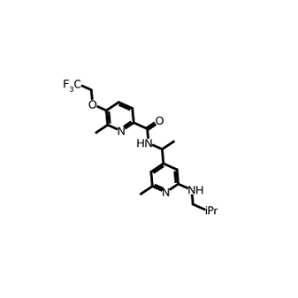 Cc1cc(C(C)NC(=O)c2ccc(OCC(F)(F)F)c(C)n2)cc(NCC(C)C)n1